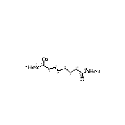 CCCCCCC(=O)CCCCCCC(=O)CCCCCC